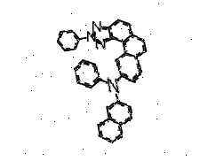 c1ccc(N(c2ccc3ccccc3c2)c2ccc3ccc4ccc5nn(-c6ccccc6)nc5c4c3c2)cc1